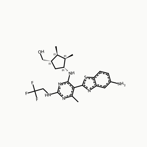 Cc1nc(NCC(F)(F)F)nc(N[C@@H]2C[C@H](CO)[C@@H](C)[C@H]2C)c1-c1nc2cc(N)ccc2s1